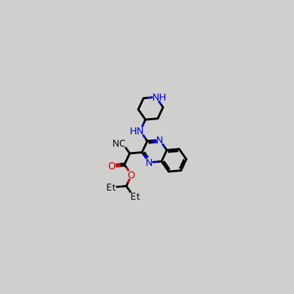 CCC(CC)OC(=O)C(C#N)c1nc2ccccc2nc1NC1CCNCC1